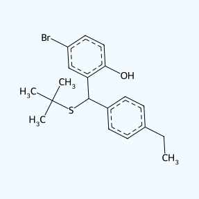 CCc1ccc(C(SC(C)(C)C)c2cc(Br)ccc2O)cc1